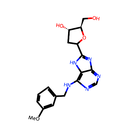 COc1cccc(CNc2ncnc3nc(C4C[C@H](O)[C@@H](CO)O4)[nH]c23)c1